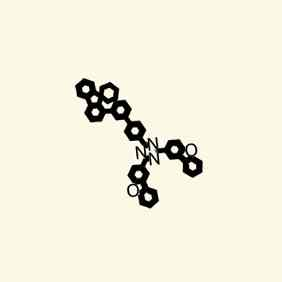 c1cc(-c2ccc(-c3nc(-c4ccc5oc6ccccc6c5c4)nc(-c4ccc5oc6ccccc6c5c4)n3)cc2)cc(-c2cccc3c2C2(CCCCC2)c2ccccc2-3)c1